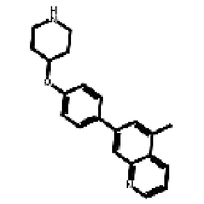 Cc1cc(-c2ccc(OC3CCNCC3)cc2)cc2ncccc12